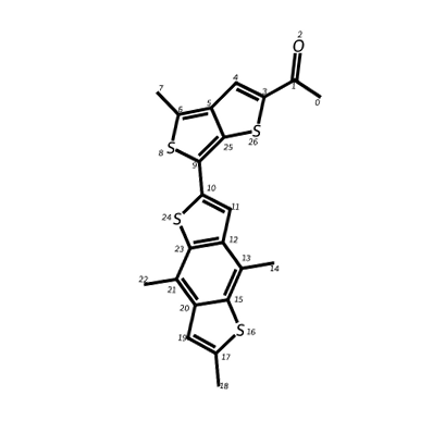 CC(=O)c1cc2c(C)sc(-c3cc4c(C)c5sc(C)cc5c(C)c4s3)c2s1